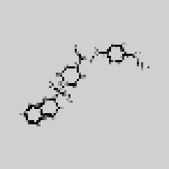 COc1ccc(OCC(=O)N2CCN(S(=O)(=O)C3C=c4ccccc4=CC3)CC2)cc1